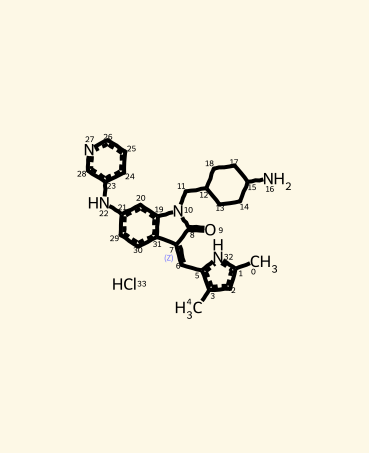 Cc1cc(C)c(/C=C2\C(=O)N(CC3CCC(N)CC3)c3cc(Nc4cccnc4)ccc32)[nH]1.Cl